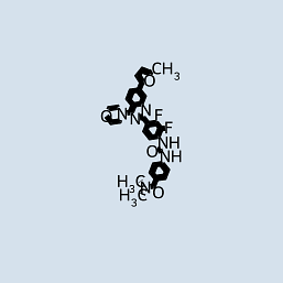 Cc1ccc(-c2ccc3c(N4CCOCC4)nc(-c4ccc(NC(=O)Nc5ccc(C(=O)N(C)C)cc5)c(F)c4F)nc3c2)o1